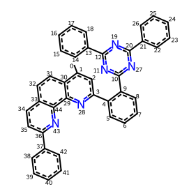 Cc1cc(-c2ccccc2-c2nc(-c3ccccc3)nc(-c3ccccc3)n2)nc2c1ccc1ccc(-c3ccccc3)nc12